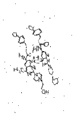 Cc1nc(N2CCC(N3CCCC3)CC2)nc2ncc(NC(=O)CCc3ccc(Cl)cc3)cc12.Cc1nc(N2CCN(CCO)CC2)nc2ncc(NC(=O)CCc3ccc(Cl)cc3)cc12